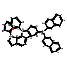 c1ccc(-n2ccc3ccc4c5cc(N(c6ccc7ccccc7c6)c6ccc7ccccc7c6)ccc5n(-c5ccccc5)c4c32)cc1